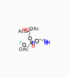 CC(=O)OCC(O)(CCc1ccc([C@@H]2[C@@H](CCC(OC(C)=O)c3ccc(F)cc3)C(=O)N2c2ccc(CCCn3cncn3)cc2)cc1)COC(C)=O